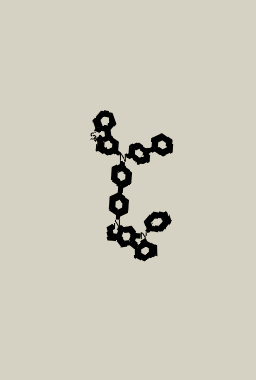 c1ccc(-c2ccc(N(c3ccc(-c4ccc(-n5ccc6cc7c8ccccc8n(-c8ccccc8)c7cc65)cc4)cc3)c3ccc4sc5ccccc5c4c3)cc2)cc1